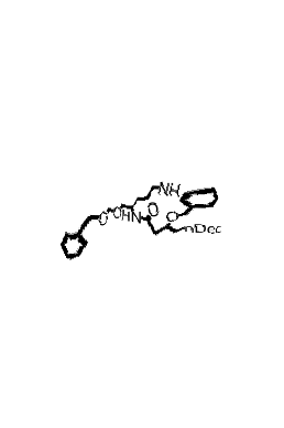 CCCCCCCCCCCC(CC(=O)N[C@H](CCCN)COCOCc1ccccc1)OCc1ccccc1